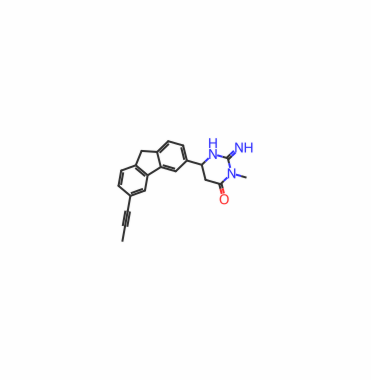 CC#Cc1ccc2c(c1)-c1cc(C3CC(=O)N(C)C(=N)N3)ccc1C2